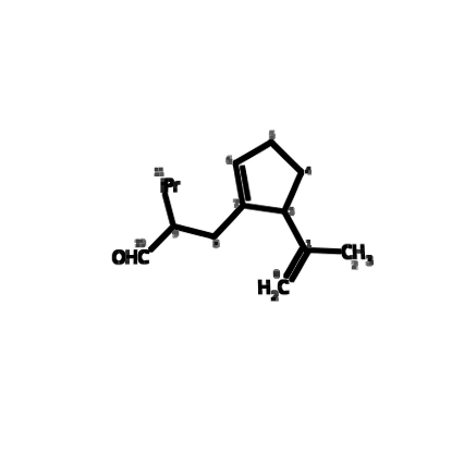 C=C(C)C1CCC=C1CC(C=O)C(C)C